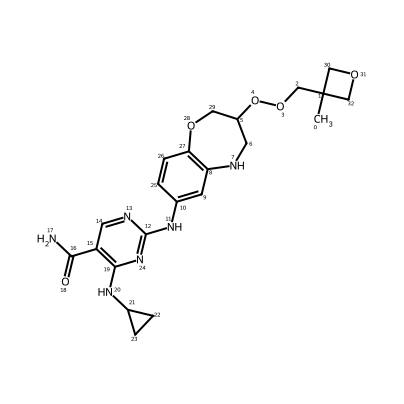 CC1(COOC2CNc3cc(Nc4ncc(C(N)=O)c(NC5CC5)n4)ccc3OC2)COC1